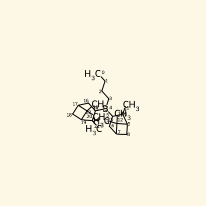 CCCCB(C1CC2CC(C1C)C2(C)C)C1CC2CC(C1C)C2(C)C